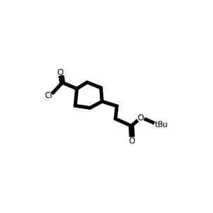 CC(C)(C)OC(=O)CCC1CCC(C(=O)Cl)CC1